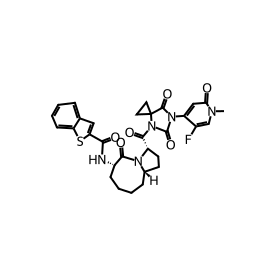 Cn1cc(F)c(N2C(=O)N(C(=O)[C@@H]3CC[C@@H]4CCCC[C@H](NC(=O)c5cc6ccccc6s5)C(=O)N43)C3(CC3)C2=O)cc1=O